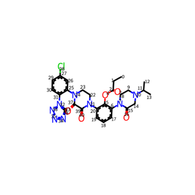 CCC(=O)Oc1c(N2CCN(C(C)C)CC2=O)cccc1N1CCN(c2cc(Cl)ccc2-n2cnnn2)C(=O)C1=O